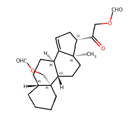 C[C@]12CC[C@H]3[C@@H](CC[C@H]4CCCC[C@@]43COC=O)C1=CC[C@@H]2C(=O)COC=O